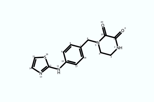 O=C1NCCN(Cc2ccc(Nc3nccs3)cc2)C1=O